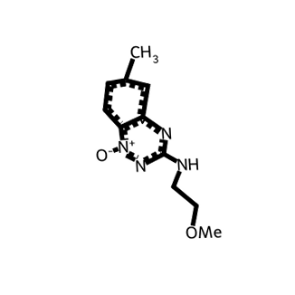 COCCNc1nc2cc(C)ccc2[n+]([O-])n1